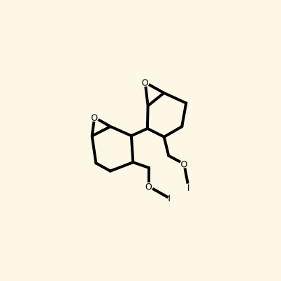 IOCC1CCC2OC2C1C1C(COI)CCC2OC21